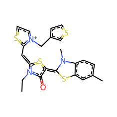 CCn1c(=O)/c(=C2\Sc3cc(C)ccc3N2C)s/c1=C\c1scc[n+]1Cc1ccsc1